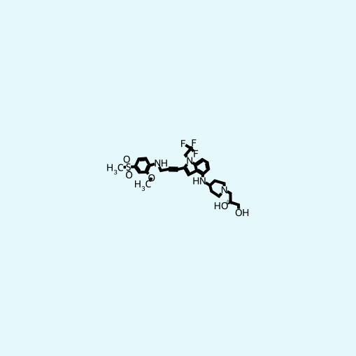 COc1cc(S(C)(=O)=O)ccc1NCC#Cc1cc2c(NC3CCN(C[C@H](O)CO)CC3)cccc2n1CC(F)(F)F